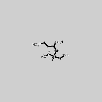 CCCCSP(=O)(NC(CCC(=O)O)C(=O)O)SO